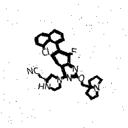 N#CC[C@H]1CN(c2nc(OCC34CCCN3CCC4)nc3c(F)c(-c4cccc5cccc(Cl)c45)ccc23)CCN1